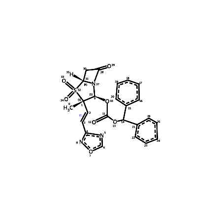 C[C@]1(/C=C/c2ncon2)[C@H](OC(=O)OC(c2ccccc2)c2ccccc2)N2C(=O)C[C@H]2S1(=O)=O